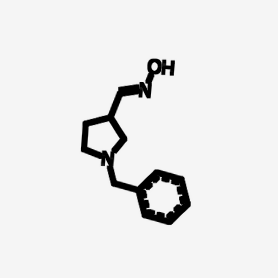 ON=CC1CCN(Cc2ccccc2)C1